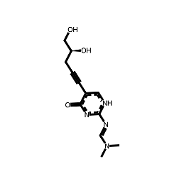 CN(C)/C=N/c1nc(=O)c(C#CC[C@H](O)CO)c[nH]1